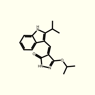 CC(C)OC1=NNC(=O)C1=Cc1c(C(C)C)[nH]c2ccccc12